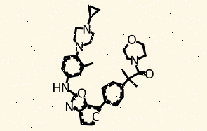 Cc1cc(Nc2nc3cccc(-c4ccc(C(C)(C)C(=O)N5CCOCC5)cc4)c3o2)ccc1N1CCN(C2CC2)CC1